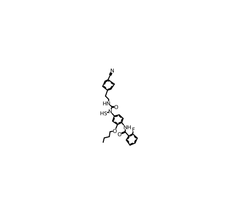 CCCCOc1cc(N(S)C(=O)NCCc2ccc(C#N)cc2)ccc1NC(=O)c1ccccc1F